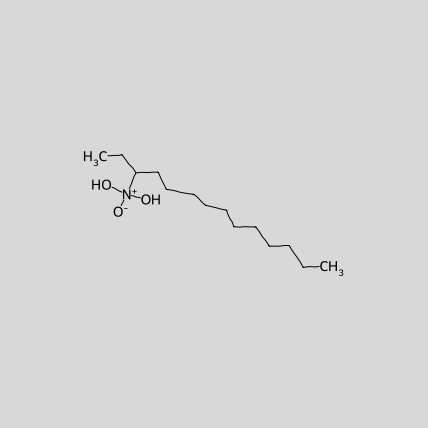 CCCCCCCCCCCC(CC)[N+]([O-])(O)O